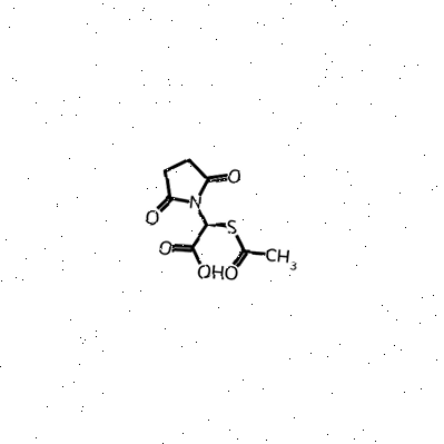 CC(=O)S[C@@H](C(=O)O)N1C(=O)CCC1=O